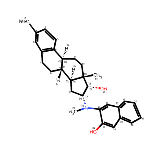 COc1ccc2c(c1)CC[C@@H]1[C@@H]2CC[C@]2(C)[C@H](O)[C@H](N(C)c3cc4ccccc4cc3O)C[C@@H]12